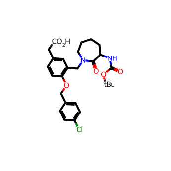 CC(C)(C)OC(=O)NC1CCCCN(Cc2cc(CC(=O)O)ccc2OCc2ccc(Cl)cc2)C1=O